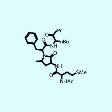 CCCCC(NC(=O)C(Cc1ccccc1)N1C(=O)C(NC(=O)C(CCSC)NC(C)=O)CC1C)C(=O)C(C)C